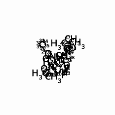 CC(C)N(C(=O)c1cc2c(cc1C(F)(F)F)CC(C)(C)C(=O)N2CCNC(=O)OCc1ccccc1)C1CCCN(OC(=O)C(C)(C)C)C1